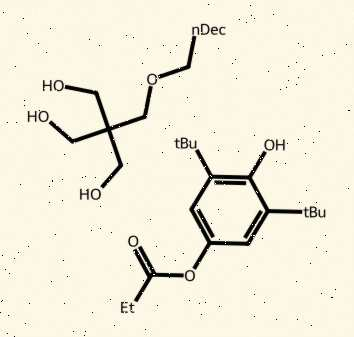 CCC(=O)Oc1cc(C(C)(C)C)c(O)c(C(C)(C)C)c1.CCCCCCCCCCCOCC(CO)(CO)CO